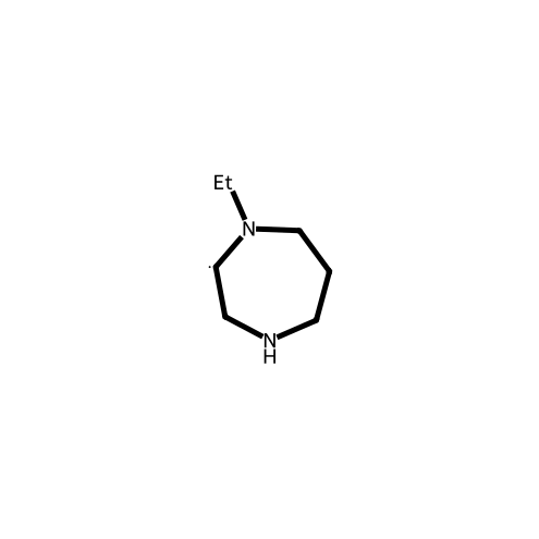 CCN1[CH]CNCCC1